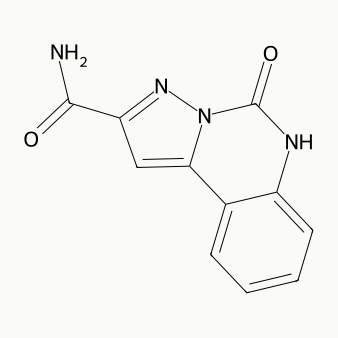 NC(=O)c1cc2c3ccccc3[nH]c(=O)n2n1